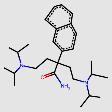 CC(C)N(CCC(CCN(C(C)C)C(C)C)(C(N)=O)c1ccc2ccccc2c1)C(C)C